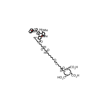 COc1cccc(OC)c1-c1cc(C(=O)NC2(C(=O)O)C3CC4CC(C3)CC2C4)nn1-c1ccc(C(=O)N(CCCNC(=O)CCC(=O)NCCCCCCOCCOCCCNC(=O)CN2CCN(CC(=O)O)CCN(CC(=O)O)CCN(CC(=O)O)CC2)CCCN(C)C)cc1C(C)C